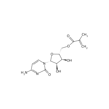 C=C(C)C(=O)OC[C@H]1O[C@@H](n2ccc(N)nc2=O)[C@H](O)[C@@H]1O